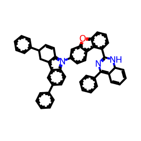 C1=CC2=C(c3ccccc3)N=C(c3cccc4oc5cc(-n6c7c(c8cc(-c9ccccc9)ccc86)CC(c6ccccc6)C=C7)ccc5c34)NC2C=C1